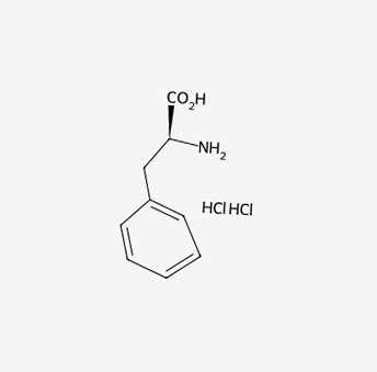 Cl.Cl.N[C@@H](Cc1ccccc1)C(=O)O